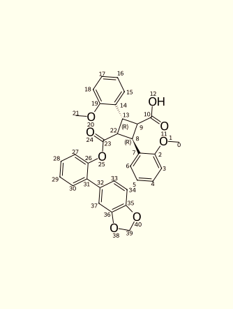 COc1ccccc1[C@@H]1C(C(=O)O)[C@@H](c2ccccc2OC)C1C(=O)Oc1ccccc1-c1ccc2c(c1)OCO2